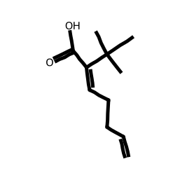 C=CCC/C=C(/C(=O)O)C(C)(C)C